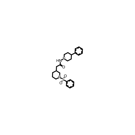 O=C(CC1CCCN(S(=O)(=O)c2ccccc2)C1)NN1CCC(c2ccccc2)CC1